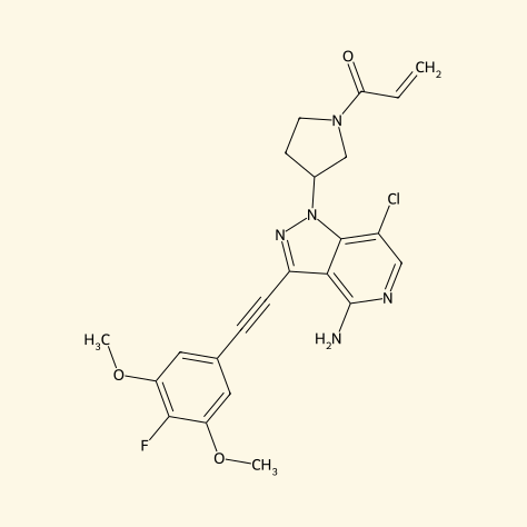 C=CC(=O)N1CCC(n2nc(C#Cc3cc(OC)c(F)c(OC)c3)c3c(N)ncc(Cl)c32)C1